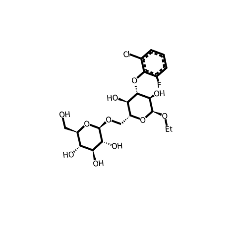 CCO[C@H]1O[C@H](CO[C@@H]2O[C@H](CO)[C@@H](O)[C@H](O)[C@H]2O)[C@@H](O)[C@H](Oc2c(F)cccc2Cl)[C@H]1O